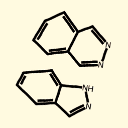 c1ccc2[nH]ncc2c1.c1ccc2cnncc2c1